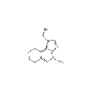 CC(C)Cn1cnc2c(N)nc3c(c21)CCCC3